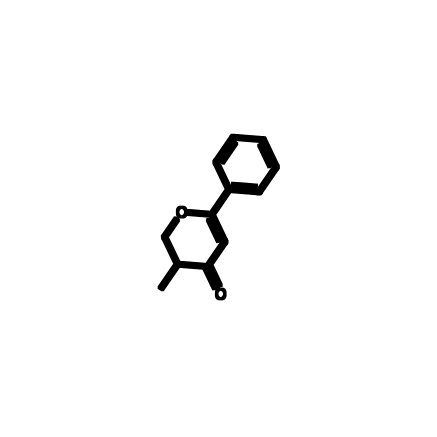 CC1COC(c2ccccc2)=CC1=O